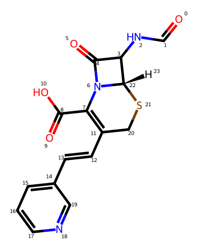 O=CNC1C(=O)N2C(C(=O)O)=C(C=Cc3cccnc3)CS[C@@H]12